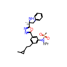 CCCN(c1cc(CCC2CC2C)cc(-c2nnc([C@@](C)(N)Cc3ccccc3)o2)c1)S(C)(=O)=O